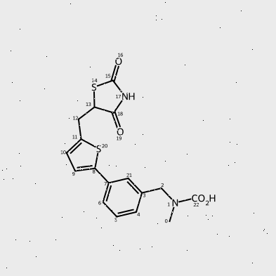 CN(Cc1cccc(-c2ccc(CC3SC(=O)NC3=O)s2)c1)C(=O)O